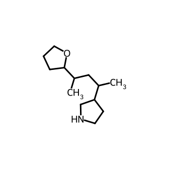 CC(CC(C)C1CCCO1)C1CCNC1